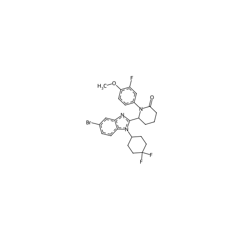 COc1ccc(N2C(=O)CCCC2c2nc3cc(Br)ccc3n2C2CCC(F)(F)CC2)cc1F